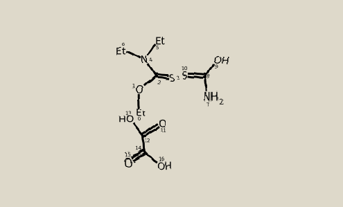 CCOC(=S)N(CC)CC.NC(O)=S.O=C(O)C(=O)O